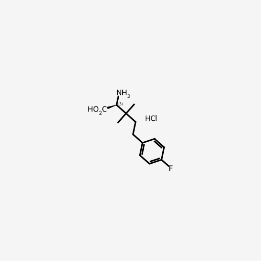 CC(C)(CCc1ccc(F)cc1)[C@H](N)C(=O)O.Cl